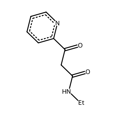 CCNC(=O)CC(=O)c1ccccn1